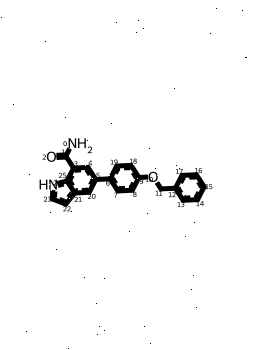 NC(=O)c1cc(-c2ccc(OCc3ccccc3)cc2)cc2cc[nH]c12